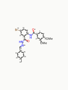 COc1ccc(C(=O)Nc2ccc(Br)cc2C(=O)N/N=C/c2ccc(C)cc2)cc1OC